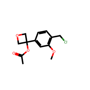 COc1cc(C2(OC(C)=O)COC2)ccc1CCl